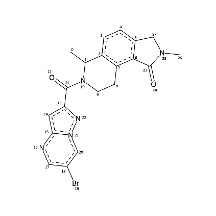 CC1c2ccc3c(c2CCN1C(=O)c1cc2ncc(Br)cn2n1)C(=O)N(C)C3